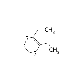 CCC1=C(CC)SCCS1